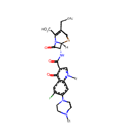 CCN1CCN(c2cc3c(cc2F)c(=O)c(C(=O)N[C@@H]2C(=O)N4C(C(=O)O)=C(COC(C)=O)CS[C@H]24)cn3CC)CC1